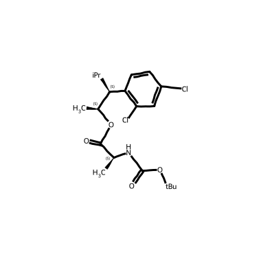 CC(C)[C@@H](c1ccc(Cl)cc1Cl)[C@H](C)OC(=O)[C@H](C)NC(=O)OC(C)(C)C